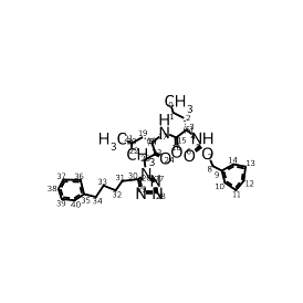 CCC[C@H](NC(=O)OCc1ccccc1)C(=O)N[C@@H](CC(C)C)C(=O)Cn1nnnc1CCCCc1ccccc1